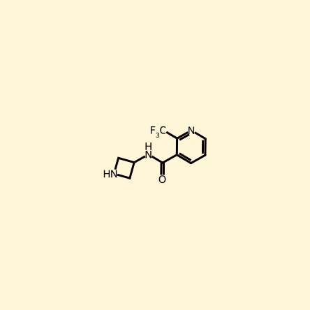 O=C(NC1CNC1)c1cccnc1C(F)(F)F